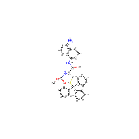 CC(C)(C)OC(=O)N[C@@H](CSC(c1ccccc1)(c1ccccc1)c1ccccc1)C(=O)Nc1cccc2c(N)cccc12